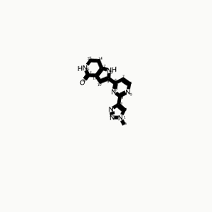 Cn1cc(-c2nccc(-c3cc4c([nH]3)CCNC4=O)n2)nn1